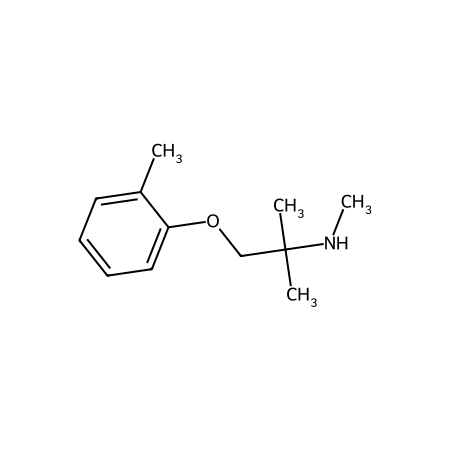 CNC(C)(C)COc1ccccc1C